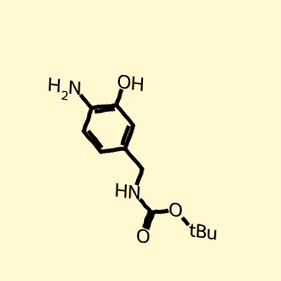 CC(C)(C)OC(=O)NCc1ccc(N)c(O)c1